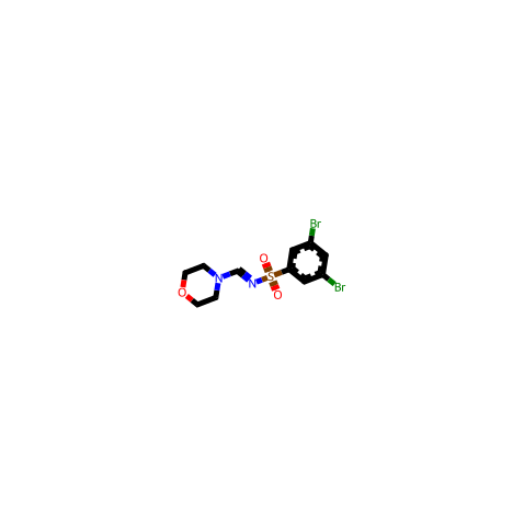 O=S(=O)(N=CN1CCOCC1)c1cc(Br)cc(Br)c1